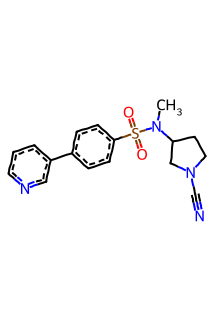 CN(C1CCN(C#N)C1)S(=O)(=O)c1ccc(-c2cccnc2)cc1